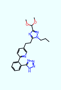 CCCn1nc(C(OC)OC)nc1CCc1ccc(-c2ccccc2-c2nnn[nH]2)nc1